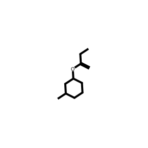 C=C(CC)OC1CCCC(C)C1